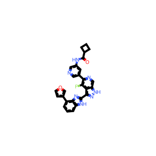 O=C(Nc1cncc(-c2ncc3[nH]nc(-c4nc5c(-c6ccoc6)cccc5[nH]4)c3c2F)c1)C1CCC1